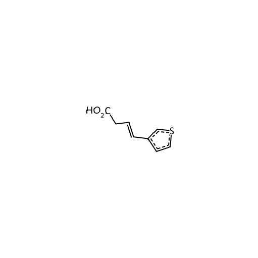 O=C(O)C/C=C/c1ccsc1